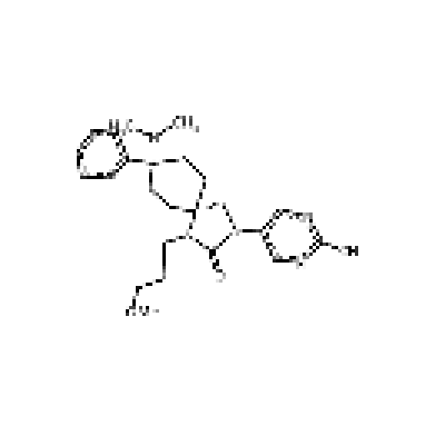 COCCCN1C(=O)N(c2cnc(C#N)nc2)C[C@]12CC[C@@](c1ccccc1)(N(C)C)CC2